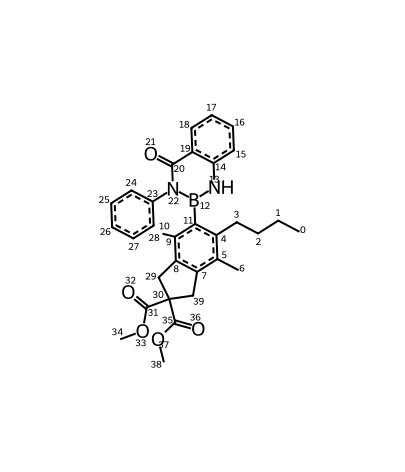 CCCCc1c(C)c2c(c(C)c1B1Nc3ccccc3C(=O)N1c1ccccc1)CC(C(=O)OC)(C(=O)OC)C2